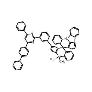 C[Si]1(C)c2ccccc2C2(c3ccccc3-n3c4ccccc4c4cccc2c43)c2cc(-c3cccc(-c4nc(-c5ccccc5)nc(-c5ccc(-c6ccccc6)cc5)n4)c3)ccc21